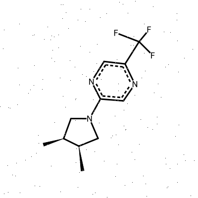 C[C@@H]1CN(c2cnc(C(F)(F)F)cn2)C[C@@H]1C